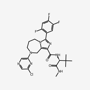 CNC(=O)[C@@H](NC(=O)c1nc(-c2cc(F)c(F)cc2F)n2c1CN(c1cncc(Cl)n1)CCC2)C(C)(C)C